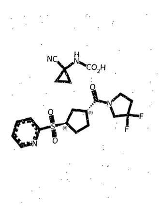 N#CC1(NC(=O)O)CC1.O=C([C@@H]1CC[C@@H](S(=O)(=O)c2ccccn2)C1)N1CCC(F)(F)C1